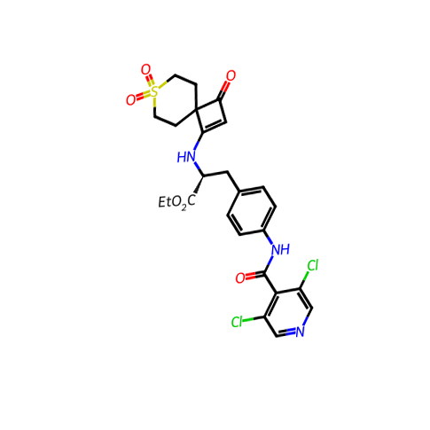 CCOC(=O)[C@H](Cc1ccc(NC(=O)c2c(Cl)cncc2Cl)cc1)NC1=CC(=O)C12CCS(=O)(=O)CC2